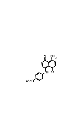 COc1ccc(NC2=C3C(=O)C=CC(N)=C3C(=O)C=C2)cc1